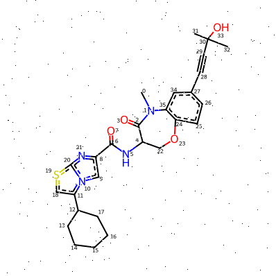 CN1C(=O)C(NC(=O)c2cn3c(C4CCCCC4)csc3n2)COc2ccc(C#CC(C)(C)O)cc21